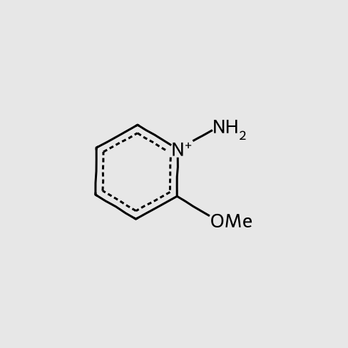 COc1cccc[n+]1N